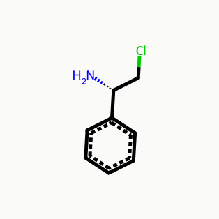 N[C@H](CCl)c1ccccc1